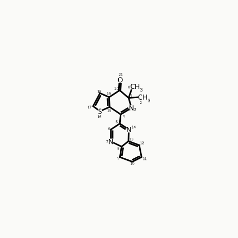 CC1(C)N=C(c2cnc3ccccc3n2)c2sccc2C1=O